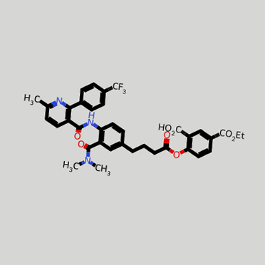 CCOC(=O)c1ccc(OC(=O)CCCc2ccc(NC(=O)c3ccc(C)nc3-c3ccc(C(F)(F)F)cc3)c(C(=O)N(C)C)c2)c(C(=O)O)c1